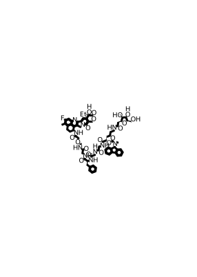 CC[C@@]1(O)C(=O)OCc2c1cc1n(c2=O)Cc2c-1nc1cc(F)c(C)c3c1c2[C@@H](NC(=O)COCNC(=O)CNC(=O)[C@H](Cc1ccccc1)NC(=O)CNC(=O)CNC(=O)[C@H](CCCCNC(=O)C[C@@H]1O[C@H](CO)[C@@H](O)[C@H]1O)OC(=O)N(C)C1c2ccccc2-c2ccccc21)CC3